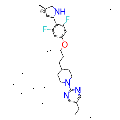 CCc1cnc(N2CCC(CCCOc3cc(F)c(C4=C[C@@H](C)CN4)c(F)c3)CC2)nc1